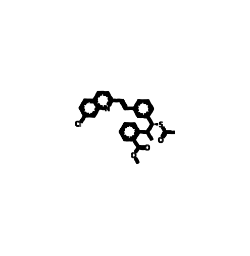 COC(=O)c1ccccc1C(C)[C@@H](SC(C)=O)c1cccc(C=Cc2ccc3ccc(Cl)cc3n2)c1